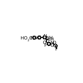 O=C(c1c(F)ccc(NS(=O)(=O)N2CCC(F)C2)c1F)c1c[nH]c2ncc(-c3ccc(N4CCN(C(=O)O)CC4)cc3)cc12